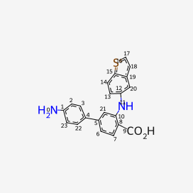 Nc1ccc(-c2ccc(C(=O)O)c(Nc3ccc4sccc4c3)c2)cc1